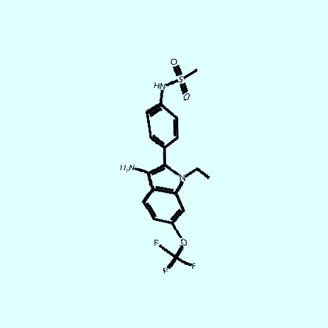 CCn1c(-c2ccc(NS(C)(=O)=O)cc2)c(N)c2ccc(OC(F)(F)F)cc21